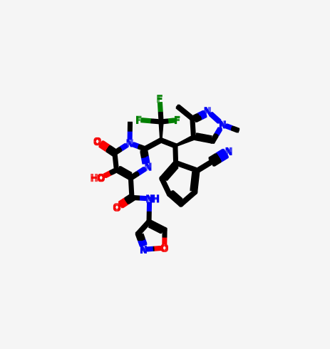 Cc1nn(C)cc1[C@@H](c1ccccc1C#N)[C@@H](c1nc(C(=O)Nc2cnoc2)c(O)c(=O)n1C)C(F)(F)F